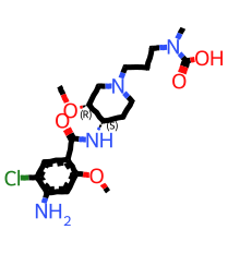 COc1cc(N)c(Cl)cc1C(=O)N[C@H]1CCN(CCCN(C)C(=O)O)C[C@H]1OC